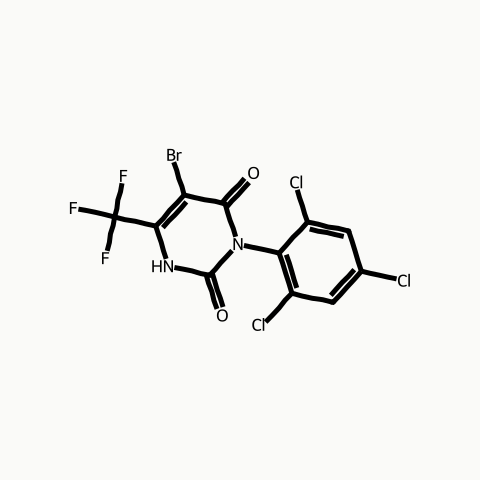 O=c1[nH]c(C(F)(F)F)c(Br)c(=O)n1-c1c(Cl)cc(Cl)cc1Cl